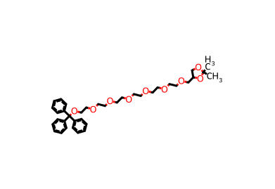 CC1(C)OCC(COCCOCCOCCOCCOCCOCCOC(c2ccccc2)(c2ccccc2)c2ccccc2)O1